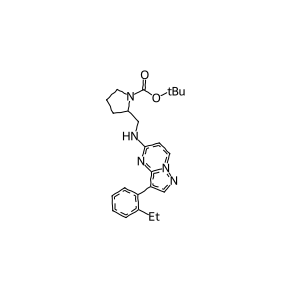 CCc1ccccc1-c1cnn2ccc(NCC3CCCN3C(=O)OC(C)(C)C)nc12